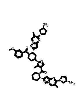 COc1cccc(C(=O)N2CCC(n3ncc(C(=O)N4CCCC[C@H]4c4cc5nc(N6CC[C@H](N)C6)c(C)cn5n4)c3C)C[C@H]2c2cc3nc(N4CC[C@H](N)C4)c(C)cn3n2)c1